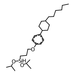 CCCCCCC1CCC(c2ccc(OCCC[SiH](OC(C)C)OC(C)C)cc2)CC1